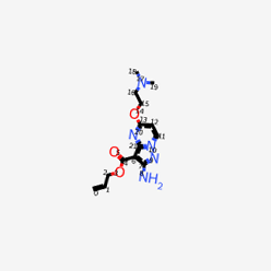 C=CCOC(=O)c1c(N)nn2ccc(OCCN(C)C)nc12